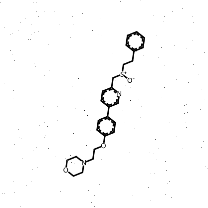 [O-][S+](CCc1ccccc1)Cc1ccc(-c2ccc(OCCN3CCOCC3)cc2)cn1